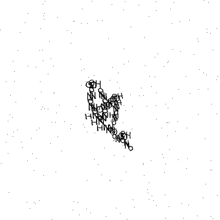 CCOc1cc(N=Nc2ccc(N=Nc3ccccc3)cc2S(=O)(=O)O)c(C)cc1Cc1nc(Cc2ccc(N=Nc3ccc(N=Nc4ccc(S(=O)(=O)O)cc4)cc3)c(C)c2)nc(NCCCNc2nc(Nc3ccc(N=Nc4ccc(N=Nc5ccccc5)cc4S(=O)(=O)O)c(C)c3)nc(Nc3cc(OCC)c(N=Nc4ccc(N=Nc5ccc(S(=O)(=O)O)cc5)cc4)cc3C)n2)n1